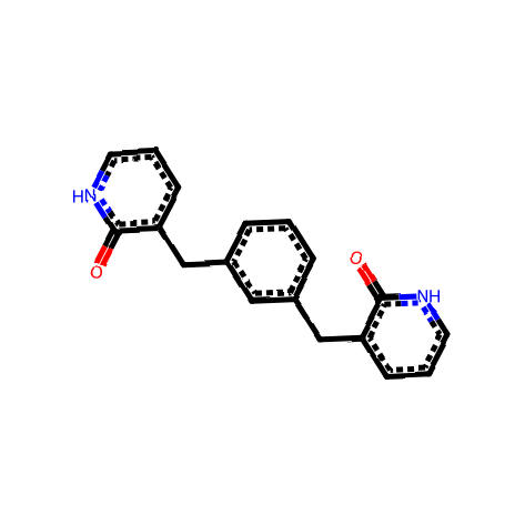 O=c1[nH]cccc1Cc1cccc(Cc2ccc[nH]c2=O)c1